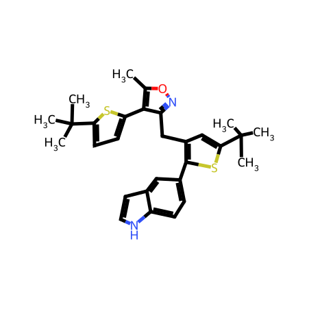 Cc1onc(Cc2cc(C(C)(C)C)sc2-c2ccc3[nH]ccc3c2)c1-c1ccc(C(C)(C)C)s1